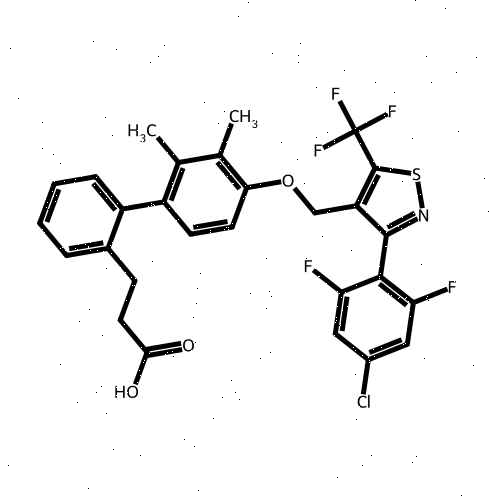 Cc1c(OCc2c(-c3c(F)cc(Cl)cc3F)nsc2C(F)(F)F)ccc(-c2ccccc2CCC(=O)O)c1C